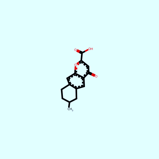 CC1CCc2cc3oc(C(=O)O)cc(=O)c3cc2C1